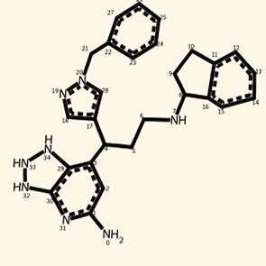 Nc1cc(C(CCNC2CCc3ccccc32)c2cnn(Cc3ccccc3)c2)c2c(n1)NNN2